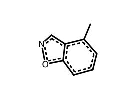 Cc1cccc2oncc12